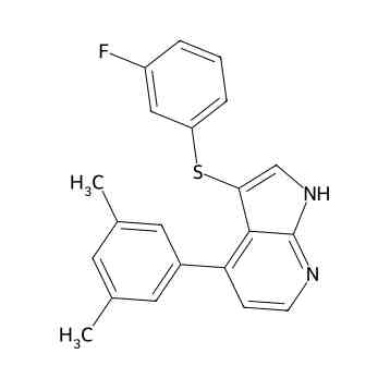 Cc1cc(C)cc(-c2ccnc3[nH]cc(Sc4cccc(F)c4)c23)c1